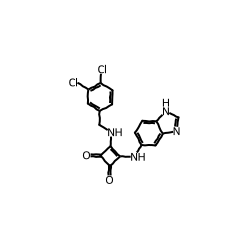 O=c1c(NCc2ccc(Cl)c(Cl)c2)c(Nc2ccc3[nH]cnc3c2)c1=O